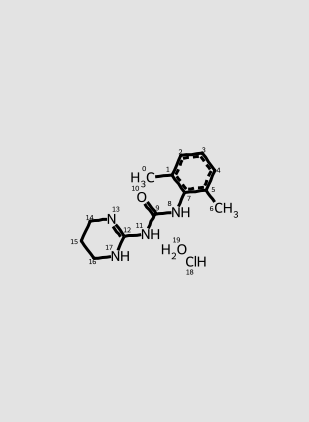 Cc1cccc(C)c1NC(=O)NC1=NCCCN1.Cl.O